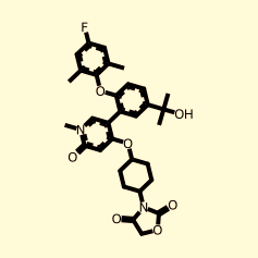 Cc1cc(F)cc(C)c1Oc1ccc(C(C)(C)O)cc1-c1cn(C)c(=O)cc1OC1CCC(N2C(=O)COC2=O)CC1